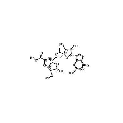 CC(C)OC(=O)[C@H](C)NP(=S)(N[C@@H](C)C(=O)OC(C)C)OC[C@@]1(C(F)F)O[C@@H](n2cnc3c(=O)[nH]c(N)nc32)[C@H](O)[C@@H]1O